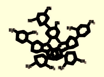 Cc1ccc(-c2ccc3c4ccc(-c5ccc(C)cc5C)cc4n(-c4cc(C#N)c(-c5cc(C#N)cc(C#N)c5)cc4-n4c5cc(-c6ccc(C)cc6C)ccc5c5ccc(-c6ccc(C)cc6C)cc54)c3c2)c(C)c1